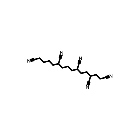 N#CCCCCC(C#N)CCCC(C#N)CCC(C#N)CCC#N